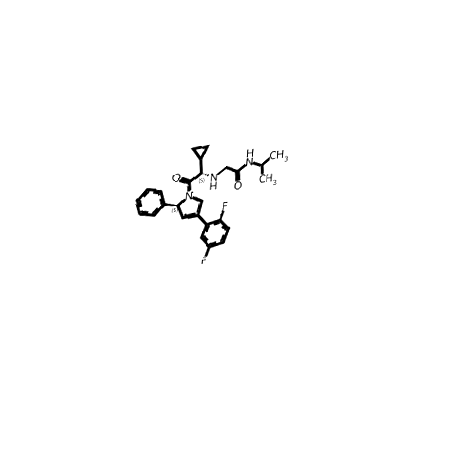 CC(C)NC(=O)CN[C@H](C(=O)N1CC(c2cc(F)ccc2F)=C[C@H]1c1ccccc1)C1CC1